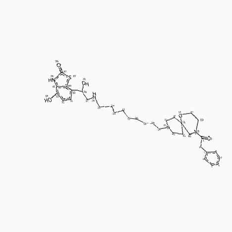 O=C(Cc1ccccc1)N1CCOC2(CCN(CCCCCCCCCNCC(O)c3ccc(O)c4[nH]c(=O)sc34)CC2)C1